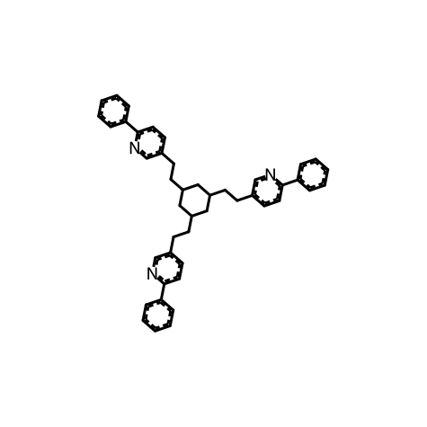 c1ccc(-c2ccc(CCC3CC(CCc4ccc(-c5ccccc5)nc4)CC(CCc4ccc(-c5ccccc5)nc4)C3)cn2)cc1